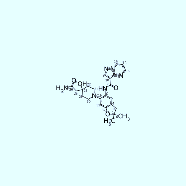 CC1(C)Cc2cc(NC(=O)c3cnn4cccnc34)c(N3CCC(O)(CC(N)=O)CC3)cc2O1